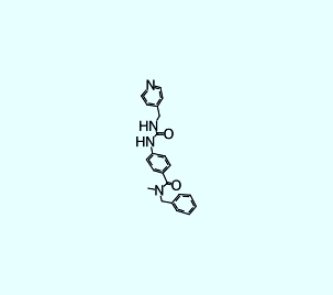 CN(Cc1ccccc1)C(=O)c1ccc(NC(=O)NCc2ccncc2)cc1